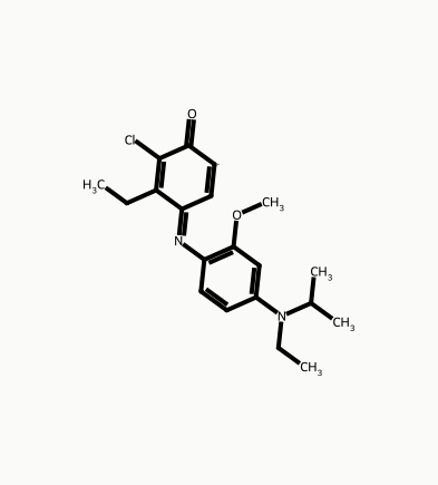 CCC1=C(Cl)C(=O)[C]=C/C1=N\c1ccc(N(CC)C(C)C)cc1OC